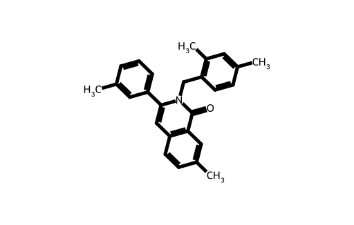 Cc1cccc(-c2cc3ccc(C)cc3c(=O)n2Cc2ccc(C)cc2C)c1